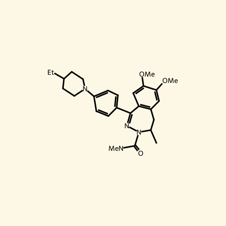 CCC1CCN(c2ccc(C3=NN(C(=O)NC)C(C)Cc4cc(OC)c(OC)cc43)cc2)CC1